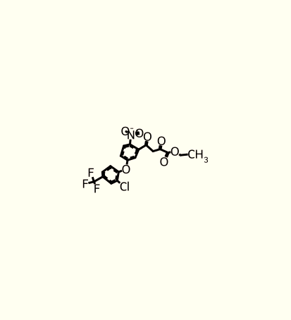 CCOC(=O)C(=O)CC(=O)c1cc(Oc2ccc(C(F)(F)F)cc2Cl)ccc1[N+](=O)[O-]